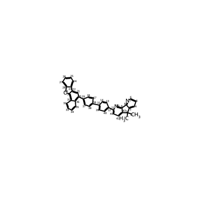 CC1(C)c2cccnc2-c2nc(-c3ccc(-c4ccc(-c5cc6c7ccccc7oc6c6ccccc56)cc4)cc3)ccc21